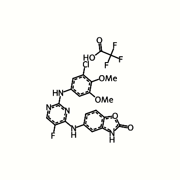 COc1cc(Nc2ncc(F)c(Nc3ccc4oc(=O)[nH]c4c3)n2)cc(Cl)c1OC.O=C(O)C(F)(F)F